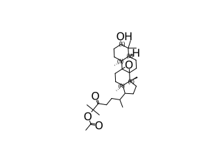 CC(=O)OC(C)(C)C(=O)CCC(C)C1CC[C@@]2(C)C34CC[C@H]5C(C)(C)[C@@H](O)CC[C@]5(C)C3(CC[C@]12C)O4